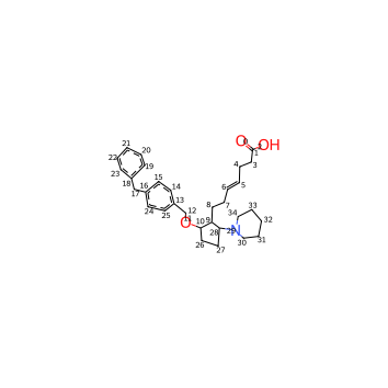 O=C(O)CCC=CCCC1C(OCc2ccc(Cc3ccccc3)cc2)CCC1N1CCCCC1